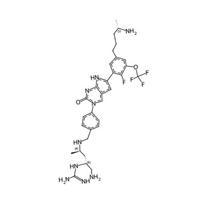 C[C@H](N)CCCc1cc(OC(F)(F)F)c(F)c(-c2cc3cn(-c4ccc(CN[C@H](C)C[C@H](CN)NC(=N)N)cc4)c(=O)nc3[nH]2)c1